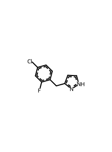 Fc1cc(Cl)ccc1Cc1cc[nH]n1